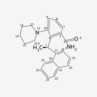 C[C@@H](c1c(C(N)=O)cccc1N1CCCCC1)c1cccc2ccccc12